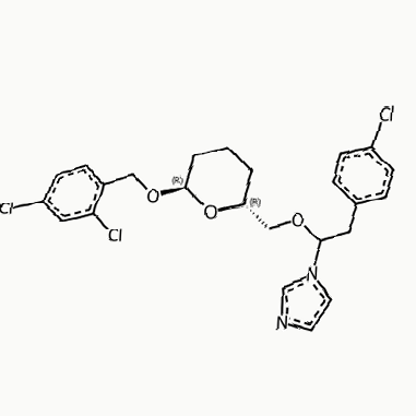 Clc1ccc(CC(OC[C@H]2CCC[C@H](OCc3ccc(Cl)cc3Cl)O2)n2ccnc2)cc1